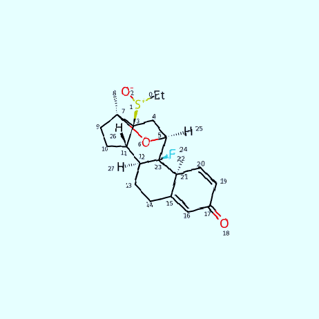 CC[S+]([O-])[C@]12C[C@@H]3O[C@@]1(C)CC[C@H]2[C@@H]1CCC2=CC(=O)C=C[C@]2(C)[C@@]31F